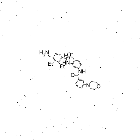 CCc1c(CN)ccc(C(=O)Nc2cc(NC(=O)c3cccc(N4CCOCC4)c3)ccc2C)c1CC